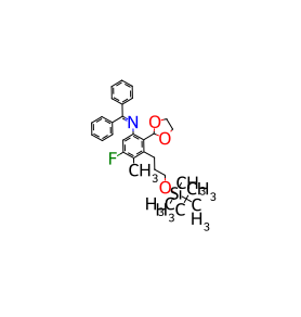 Cc1c(F)cc(N=C(c2ccccc2)c2ccccc2)c(C2OCCO2)c1CCCO[Si](C)(C)C(C)(C)C